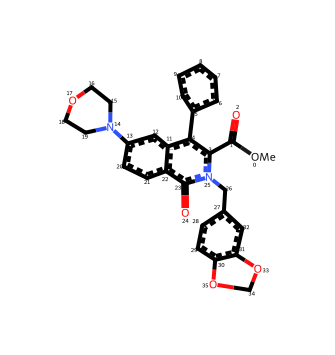 COC(=O)c1c(-c2ccccc2)c2cc(N3CCOCC3)ccc2c(=O)n1Cc1ccc2c(c1)OCO2